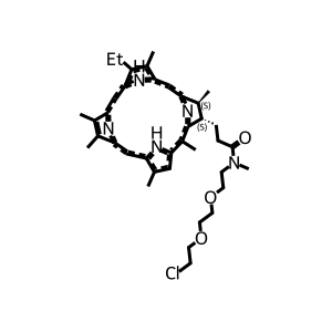 CCc1c(C)c2cc3nc(c(C)c4cc(C)c(cc5nc(cc1[nH]2)C(C)=C5C)[nH]4)[C@@H](CCC(=O)N(C)CCOCCOCCCl)[C@@H]3C